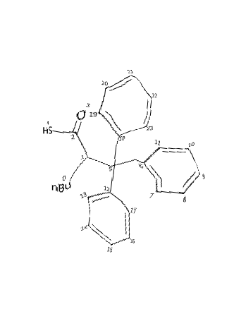 CCCCC(C(=O)S)C(c1ccccc1)(c1ccccc1)c1ccccc1